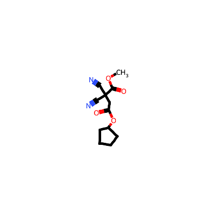 COC(=O)C(C#N)(C#N)CC(=O)OC1CCCC1